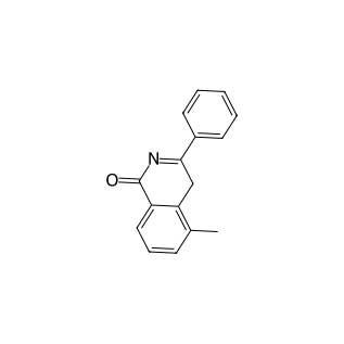 Cc1cccc2c1CC(c1ccccc1)=NC2=O